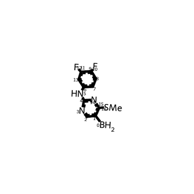 Bc1cnc(Nc2ccc(F)c(F)c2)nc1SC